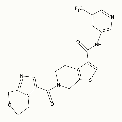 O=C(Nc1cncc(C(F)(F)F)c1)c1csc2c1CCN(C(=O)c1cnc3n1CCOC3)C2